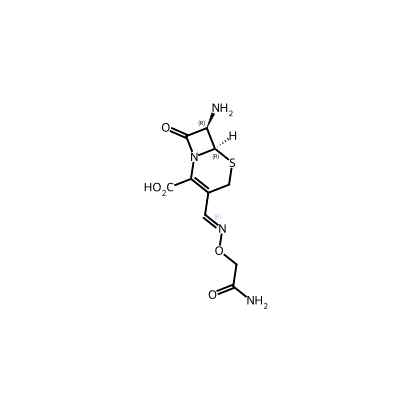 NC(=O)CO/N=C/C1=C(C(=O)O)N2C(=O)[C@@H](N)[C@H]2SC1